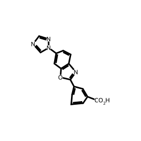 O=C(O)c1cccc(-c2nc3ccc(-n4cncn4)cc3o2)c1